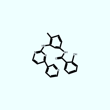 Cc1ccc(NC(=O)c2ccccc2O)cc1Nc1nccc(-c2cccnc2)n1